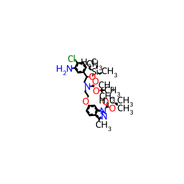 CC[Si](CC)(CC)OC(CN(CCOc1ccc2c(C)nn(C(=O)OC(C)(C)C)c2c1)C(=O)OC(C)(C)C)c1ccc(Cl)c(N)c1